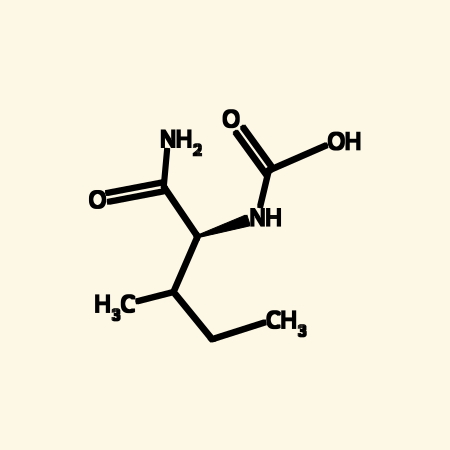 CCC(C)[C@H](NC(=O)O)C(N)=O